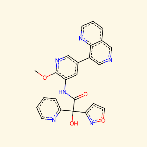 COc1ncc(-c2cncc3cccnc23)cc1NC(=O)C(O)(c1ccccn1)c1ccon1